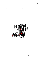 CC(C)(C)N(CCNC(=O)c1cccc(-n2c(=O)n(C3CCC(NC(=O)c4cn5ccccc5n4)CC3)c(=O)c3cc(F)cnc32)c1)C(=O)O